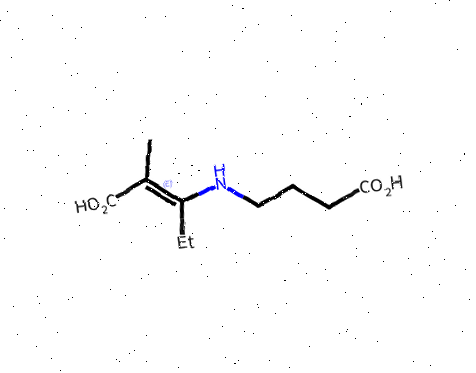 CC/C(NCCCC(=O)O)=C(/C)C(=O)O